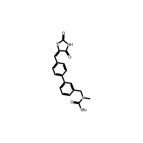 CN(Cc1cccc(-c2ccc(C=C3SC(=O)NC3=O)cc2)c1)C(=O)C(C)(C)C